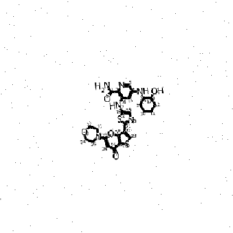 NC(=O)c1ncc(N[C@@H]2CCCC[C@@H]2O)cc1Nc1cnc(-c2csc3c(=O)cc(N4CCOCC4)oc23)s1